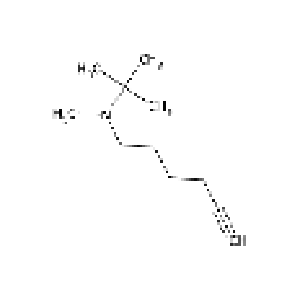 C#CCCCCN(C)C(C)(C)C